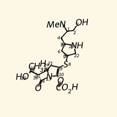 CNC(CO)C[C@@H]1C[C@H](SC2=C(OC(=O)O)N3C(=O)[C@H]([C@@H](C)O)[C@H]3C2)CN1